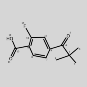 CC(C)(C)C(=O)c1ccc(C(=O)O)c(F)c1